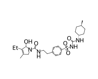 CCC1=C(C)CN(C(=O)NCCc2ccc(S(=O)(=O)NC(=O)N[C@H]3CC[C@H](C)CC3)cc2)C1O